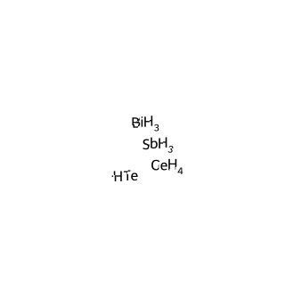 [BiH3].[GeH4].[SbH3].[TeH]